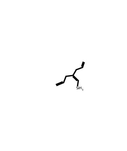 C=CCC(=C[SiH3])CC=C